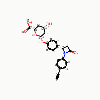 C#Cc1ccc(N2C(=O)C[C@H]2c2ccc(O[C@H]3C[C@@H](O)C[C@@H](C(=O)O)O3)cc2)cc1